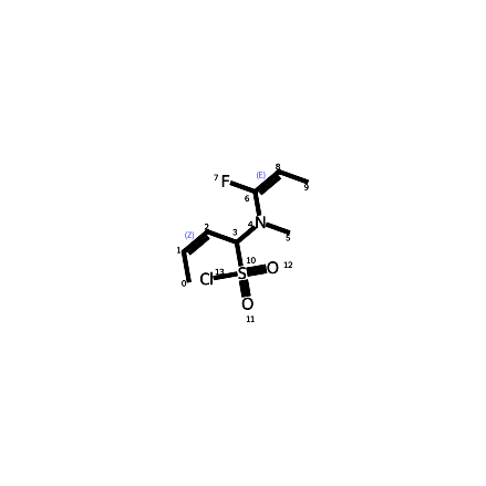 C/C=C\C(N(C)/C(F)=C\C)S(=O)(=O)Cl